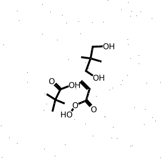 C=CC(=O)OO.CC(C)(C)C(=O)O.CC(C)(CO)CO